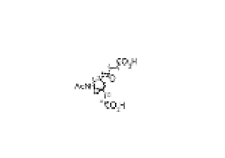 CC(=O)NCC(SC(=O)CCC(=O)O)SC(=O)CCC(=O)O